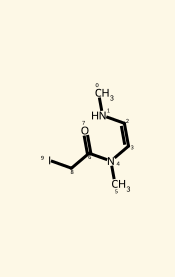 CN/C=C\N(C)C(=O)CI